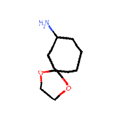 NC1CCCC2(C1)OCCO2